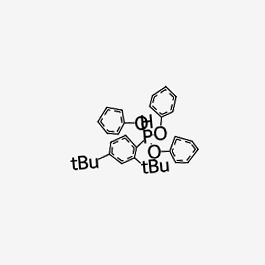 CC(C)(C)c1ccc([PH](Oc2ccccc2)(Oc2ccccc2)Oc2ccccc2)c(C(C)(C)C)c1